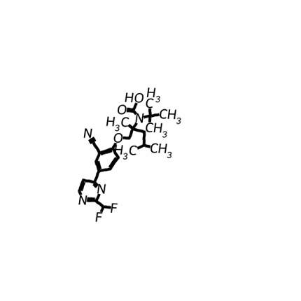 CC(C)CC(C)(COc1ccc(-c2ccnc(C(F)F)n2)cc1C#N)N(C(=O)O)C(C)(C)C